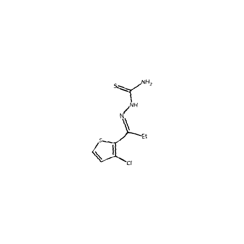 CCC(=NNC(N)=S)c1sccc1Cl